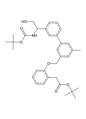 Cc1cc(COc2ccccc2CC(=O)OC(C)(C)C)cc(-c2cccc(C(CO)NC(=O)OC(C)(C)C)c2)c1